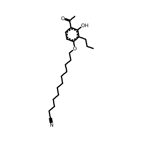 CCCc1c(OCCCCCCCCCCCC#N)ccc(C(C)=O)c1O